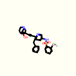 Cc1ccccc1S(=O)(=O)Nc1cnc(C#CC2(O)CN3CCC2CC3)c(Cc2ccccc2)c1